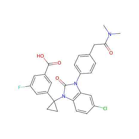 CN(C)C(=O)Cc1ccc(-n2c(=O)n(C3(c4cc(F)cc(C(=O)O)c4)CC3)c3ccc(Cl)cc32)cc1